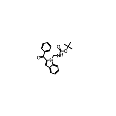 CC(C)(C)OC(=O)NCn1c(C(=O)c2ccccc2)cc2ccccc21